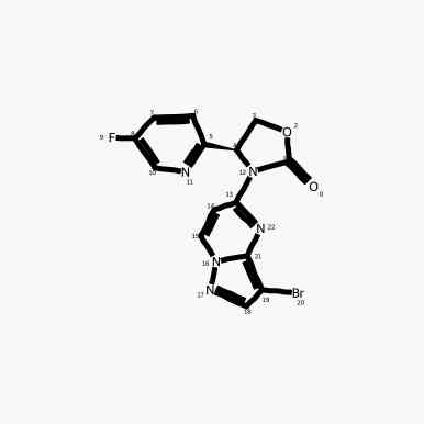 O=C1OC[C@H](c2ccc(F)cn2)N1c1ccn2ncc(Br)c2n1